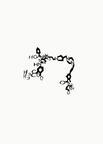 CC1(C)OC(=O)c2ccc(Nc3ncc(-c4nnc(CCN5CCC(CN6CCN(CC#Cc7ccc8c(c7)CN(C7CCC(=O)NC7=O)C8=O)CC6)CC5)o4)c(N[C@H](CO)c4ccccc4)n3)cc21